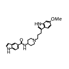 COc1ccc2c(CCCN3CCC(NC(=O)c4ccc5[nH]ccc5c4)CC3)c[nH]c2c1